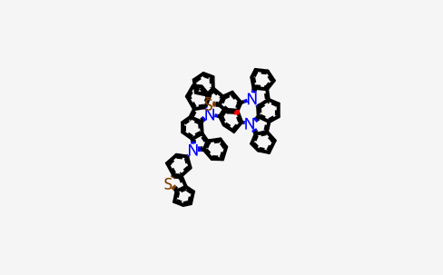 c1ccc2c(c1)sc1ccc(-n3c4ccccc4c4c3ccc3c5ccccc5n(-c5ccc(-n6c7ccccc7c7ccc8c9ccccc9n(-c9ccc%10sc%11ccccc%11c%10c9)c8c76)cc5)c34)cc12